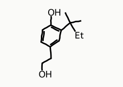 CCC(C)(C)c1cc(CCO)ccc1O